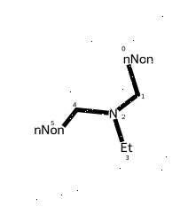 CCCCCCCCCCN(CC)CCCCCCCCCC